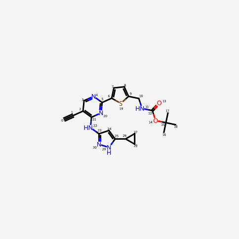 C#Cc1cnc(-c2ccc(CNC(=O)OC(C)(C)C)s2)nc1Nc1cc(C2CC2)[nH]n1